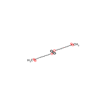 CCOC(=O)CCCCCCCCCCCCCCCCCOc1c2ccccc2c(OCCCCCCCCCCCCCCCCCC(=O)OCC)c2ccccc12